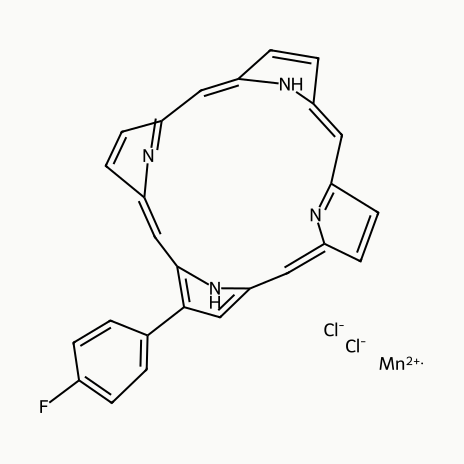 Fc1ccc(-c2cc3cc4nc(cc5ccc(cc6nc(cc2[nH]3)C=C6)[nH]5)C=C4)cc1.[Cl-].[Cl-].[Mn+2]